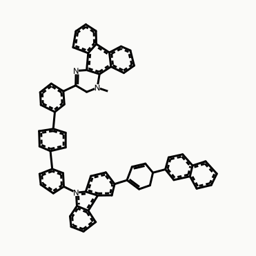 CN1CC(c2cccc(-c3ccc(-c4cccc(-n5c6ccccc6c6cc(C7=CCC(c8ccc9ccccc9c8)C=C7)ccc65)c4)cc3)c2)=Nc2c1c1ccccc1c1ccccc21